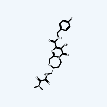 CN(C)C(=O)C(=O)NC[C@H]1CCn2c(nc(C(=O)NCc3ccc(F)cc3)c(O)c2=O)CO1